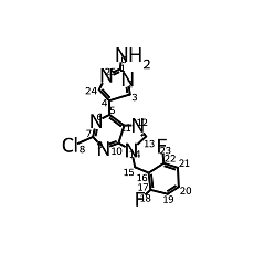 Nc1ncc(-c2nc(Cl)nc3c2ncn3Cc2c(F)cccc2F)cn1